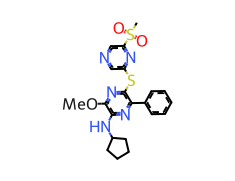 COc1nc(Sc2cncc(S(C)(=O)=O)n2)c(-c2ccccc2)nc1NC1CCCC1